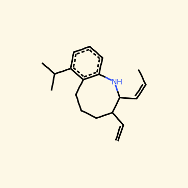 C=CC1CCCc2c(cccc2C(C)C)NC1/C=C\C